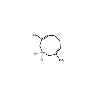 C/C1=C/CC/C=C(/C)[CH2][Ru]([Cl])([Cl])[CH2]1